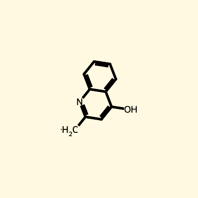 [CH2]c1cc(O)c2ccccc2n1